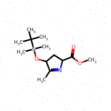 COC(=O)C1CC(O[Si](C)(C)C(C)(C)C)C(C)=N1